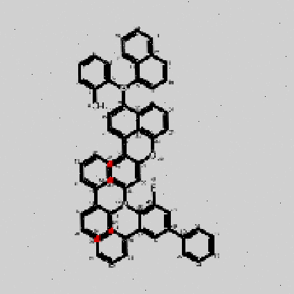 Cc1ccccc1B(c1cccc2ccccc12)c1ccc2c3c(cccc13)Oc1cc(N(c3ccccc3-c3ccccc3)c3c(F)cc(-c4ccccc4)cc3-c3ccccc3)ccc1-2